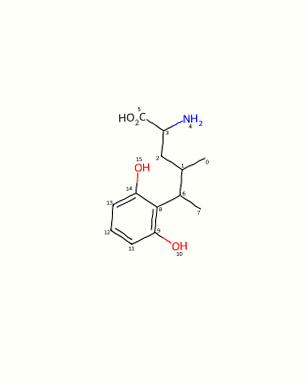 CC(CC(N)C(=O)O)C(C)c1c(O)cccc1O